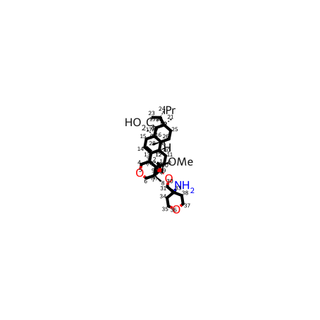 CO[C@@H]1C[C@@]23COC[C@](C)([C@@H]2CC[C@H]2C3=CC[C@@]3(C)[C@H](C(=O)O)[C@@](C)([C@H](C)C(C)C)CC[C@]23C)[C@H]1OCC1(N)CCOCC1